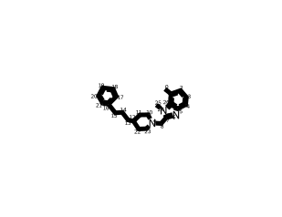 Cc1cccc2nc(CN3CCC(CCCc4ccccc4)CC3)n(C)c12